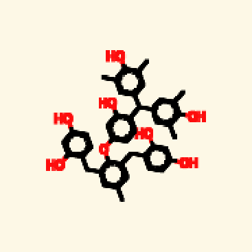 Cc1cc(Cc2ccc(O)cc2O)c(Oc2ccc(C(c3cc(C)c(O)c(C)c3)c3cc(C)c(O)c(C)c3)c(O)c2)c(Cc2ccc(O)cc2O)c1